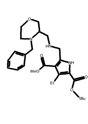 CCc1c(C(=O)OC(C)(C)C)[nH]c(CNCC2COCCN2Cc2ccccc2)c1C(=O)OC